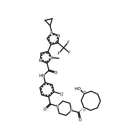 Cn1c(-c2cn(C3CC3)nc2C(F)(F)F)cnc1C(=O)Nc1ccc(C(=O)N2CCN(C(=O)[C@H]3CCCCC[C@H](O)C3)CC2)c(Cl)c1